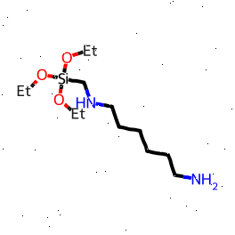 CCO[Si](CNCCCCCCN)(OCC)OCC